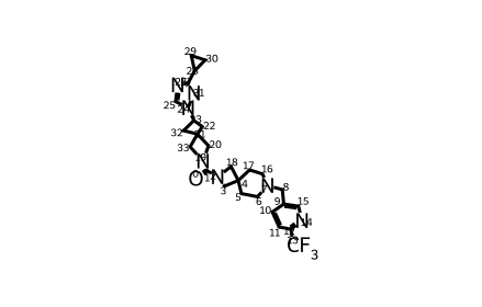 O=C(N1CC2(CCN(Cc3ccc(C(F)(F)F)nc3)CC2)C1)N1CC2(CC(n3cnc(C4CC4)n3)C2)C1